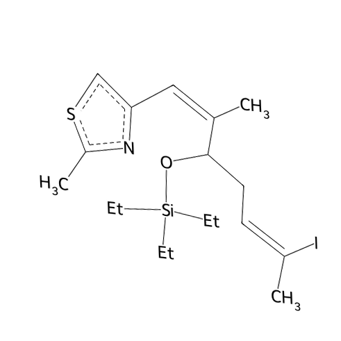 CC[Si](CC)(CC)OC(CC=C(C)I)C(C)=Cc1csc(C)n1